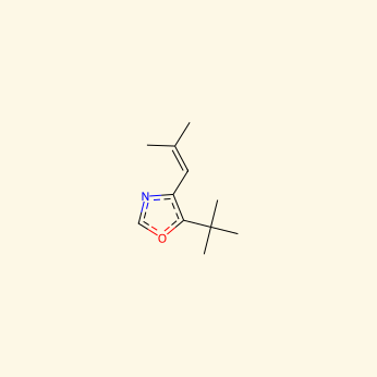 CC(C)=Cc1ncoc1C(C)(C)C